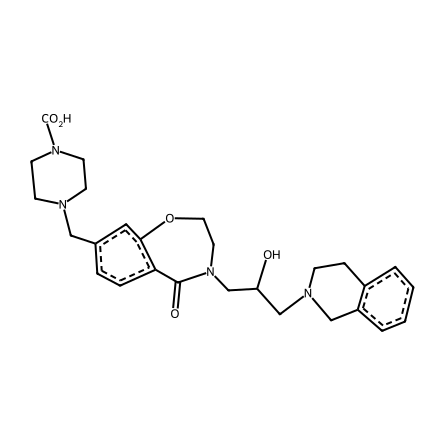 O=C(O)N1CCN(Cc2ccc3c(c2)OCCN(CC(O)CN2CCc4ccccc4C2)C3=O)CC1